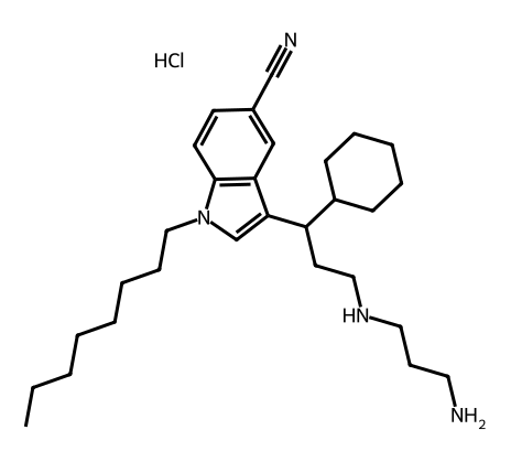 CCCCCCCCn1cc(C(CCNCCCN)C2CCCCC2)c2cc(C#N)ccc21.Cl